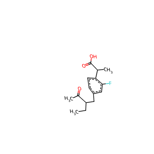 CCC(Cc1ccc(C(C)C(=O)O)c(F)c1)C(C)=O